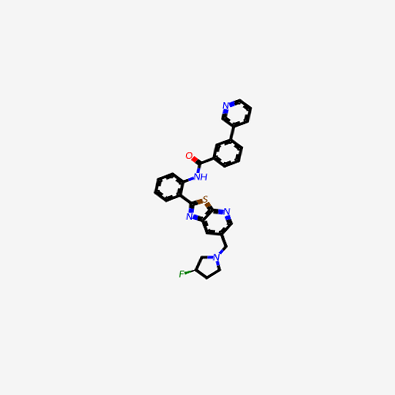 O=C(Nc1ccccc1-c1nc2cc(CN3CC[C@@H](F)C3)cnc2s1)c1cccc(-c2cccnc2)c1